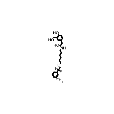 Cc1cccc(C(F)(F)COCCCCCCN[C@@H](O)Cc2ccc(O)c(CO)c2)c1